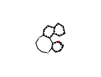 c1ccc2c3c(ccc2c1)OCCCOc1ccc2ccccc2c1-3